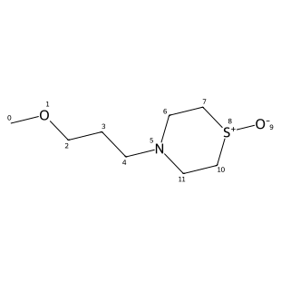 COCCCN1CC[S+]([O-])CC1